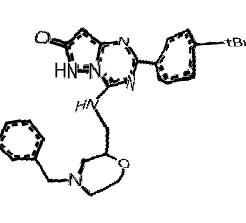 CC(C)(C)c1ccc(-c2nc(NCC3CN(Cc4ccccc4)CCO3)n3[nH]c(=O)cc3n2)cc1